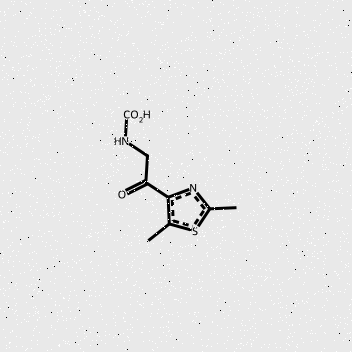 Cc1nc(C(=O)CNC(=O)O)c(C)s1